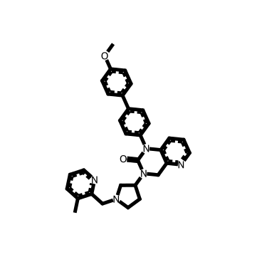 COc1ccc(-c2ccc(N3C(=O)N(C4CCN(Cc5ncccc5C)C4)Cc4ncccc43)cc2)cc1